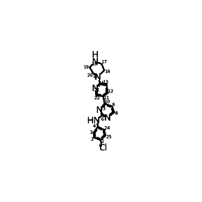 Clc1ccc(Nc2nccc(-c3ccc(N4CCNCC4)nc3)n2)cc1